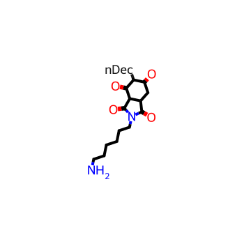 CCCCCCCCCCC1C(=O)CC2C(=O)N(CCCCCCN)C(=O)C2C1=O